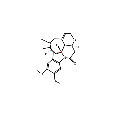 CC[C@@]12c3cc(OC)c(OC)cc3N3C(=O)C[C@@H]4OCC=C5CN(C)[C@@H]1CCC54[C@H]32